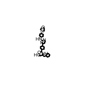 O=C(NC(CO)Cc1ccccc1)c1ccc(-c2ccnc(Nc3ccc(N4CCOCC4)cc3)n2)cc1